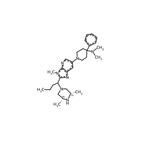 CCCC(c1nc2cc(N3CCC(c4ccccc4)(N(C)C)CC3)cnc2n1C)N1C[C@@H](C)N[C@@H](C)C1